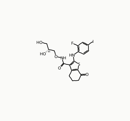 O=C1CCCc2c1sc(Nc1ccc(I)cc1F)c2C(=O)NOC[C@H](O)CO